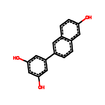 Oc1cc(O)cc(-c2ccc3cc(O)ccc3c2)c1